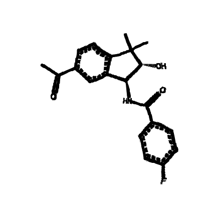 CC(=O)c1ccc2c(c1)[C@H](NC(=O)c1ccc(F)cc1)[C@@H](O)C2(C)C